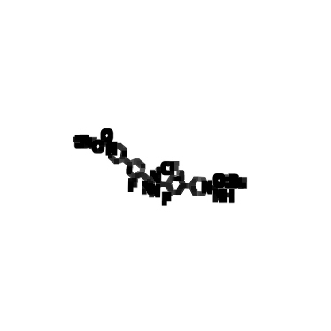 CC(C)(C)OC(=N)N1CC=C(c2ccc(-c3nnc(-c4ccc(C5=CCN(C(=O)OC(C)(C)C)CC5)cc4F)n3CC(F)(F)F)c(F)c2)CC1